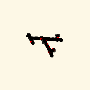 CCCCCCC(C/C=C/CCCCCCCC(=O)CC(COC(=O)CCCCCCC/C=C/CC(CCCCCC)OCC1CO1)COC(=O)CCCCCCC/C=C/CC(CCCCCC)OCC1CO1)OCC1CO1